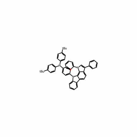 CC(C)(C)c1ccc(N(c2ccc(-n3c4ccccc4c4ccc5c(-c6ccccc6)cn(-c6ccccc6)c5c43)cc2)c2ccc(C(C)(C)C)cc2)cc1